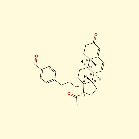 CC(=O)[C@H]1CC[C@H]2[C@@H]3C=CC4=CC(=O)CC[C@@]4(C)[C@@H]3CC[C@]12CCCc1ccc(C=O)cc1